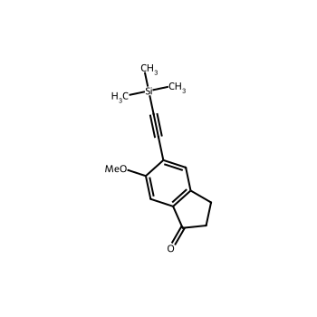 COc1cc2c(cc1C#C[Si](C)(C)C)CCC2=O